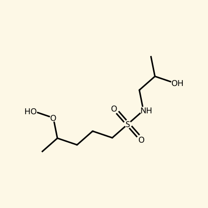 CC(O)CNS(=O)(=O)CCCC(C)OO